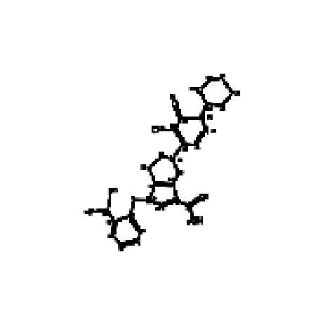 O=C(O)c1nn(Cc2ccccc2C(F)F)c2c1CN(c1cnn(C3CCCCO3)c(=O)c1Cl)CC2